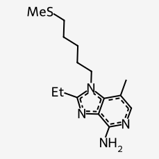 CCc1nc2c(N)ncc(C)c2n1CCCCCSC